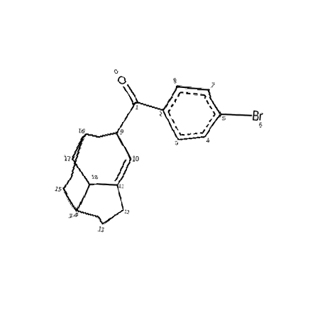 O=C(c1ccc(Br)cc1)C1C=C2CCC3CC1CC23